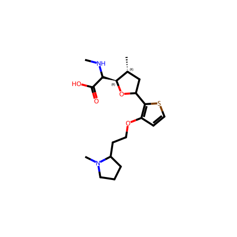 CNC(C(=O)O)[C@@H]1OC(c2sccc2OCCC2CCCN2C)C[C@H]1C